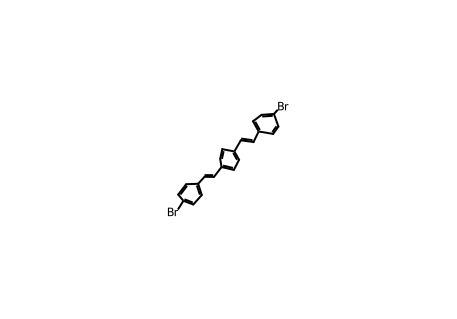 Brc1ccc(/C=C/c2ccc(/C=C/c3ccc(Br)cc3)cc2)cc1